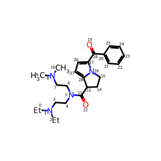 CCN(CC)CCN(CCN(C)C)C(=O)C1CCn2c(C(=O)c3ccccc3)ccc21